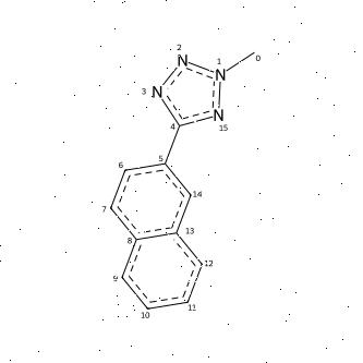 Cn1nnc(-c2ccc3ccccc3c2)n1